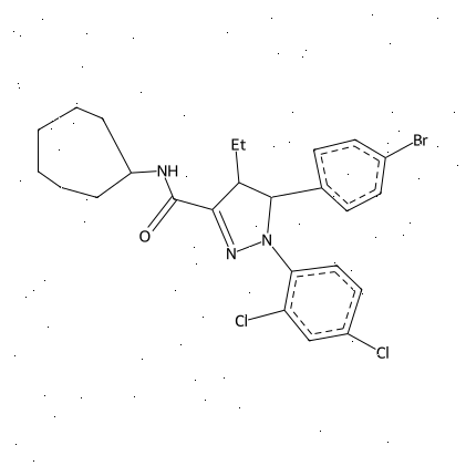 CCC1C(C(=O)NC2CCCCCC2)=NN(c2ccc(Cl)cc2Cl)C1c1ccc(Br)cc1